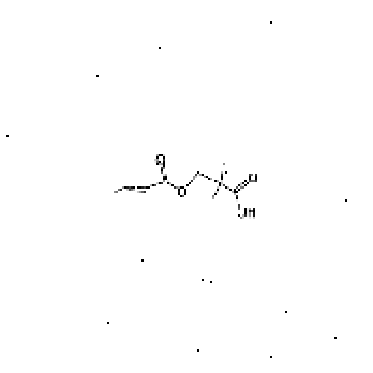 CC=CC(=O)OCC(C)(C)C(=O)O